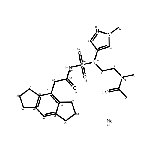 CC(=O)N(C)CCN(c1cnn(C)c1)S(=O)(=O)NC(=O)Cc1c2c(cc3c1CCC3)CCC2.[Na]